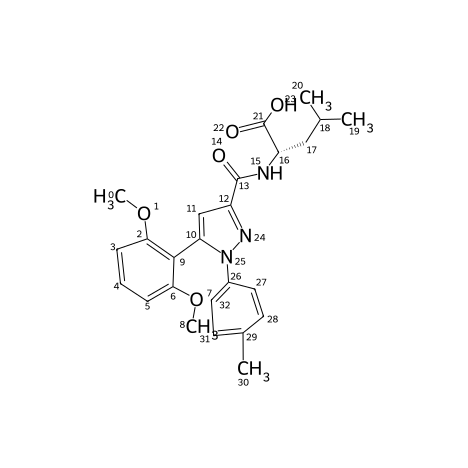 COc1cccc(OC)c1-c1cc(C(=O)N[C@@H](CC(C)C)C(=O)O)nn1-c1ccc(C)cc1